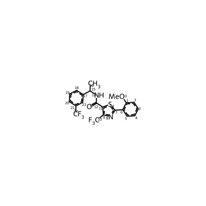 COc1ccccc1-c1nc(C(F)(F)F)c(C(=O)NC(C)c2cccc(C(F)(F)F)c2)s1